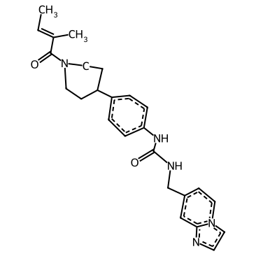 C/C=C(\C)C(=O)N1CCC(c2ccc(NC(=O)NCc3ccn4ccnc4c3)cc2)CC1